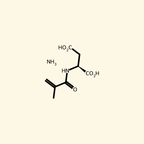 C=C(C)C(=O)N[C@@H](CC(=O)O)C(=O)O.N